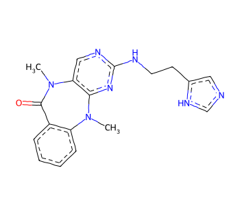 CN1C(=O)c2ccccc2N(C)c2nc(NCCc3cnc[nH]3)ncc21